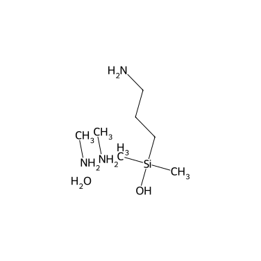 CN.CN.C[Si](C)(O)CCCN.O